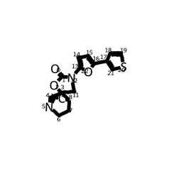 O=C1OC2(CN3CCC2CC3)CN1c1ccc(-c2ccsc2)o1